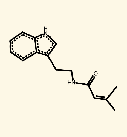 CC(C)=CC(=O)NCCc1c[nH]c2ccccc12